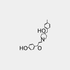 Cc1ccc(CC2(O)CCN(C=CC(=O)c3ccc(O)cc3)CC2)cc1